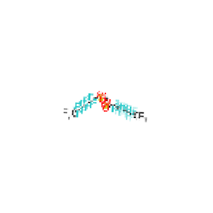 CC(OS(=O)(=O)CCC(F)(F)C(F)(F)C(F)(F)C(F)(F)C(F)(F)C(F)(F)C(F)(F)C(F)(F)F)OS(=O)(=O)CCC(F)(F)C(F)(F)C(F)(F)C(F)(F)C(F)(F)C(F)(F)C(F)(F)C(F)(F)F